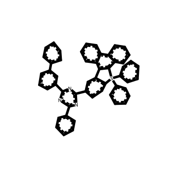 c1ccc(-c2cccc(-c3nc(-c4ccccc4)nc(-c4ccc5c(c4)-c4c(c6ccccc6c6ccccc46)S5(c4ccccc4)c4ccccc4)n3)c2)cc1